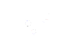 CC1(COc2cnc3c(c2-c2ccno2)OCC3)CN(C(=O)OC(C)(C)C)C1